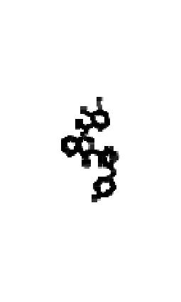 O=c1c(-c2noc(Cc3ccc(F)cc3)n2)cn(C(F)c2cccc(F)c2F)c2ccccc12